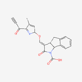 C#CC(=O)C1=NC(O/C=C2/C(=O)N(C(=O)O)C3c4ccccc4CC23)C=C1C